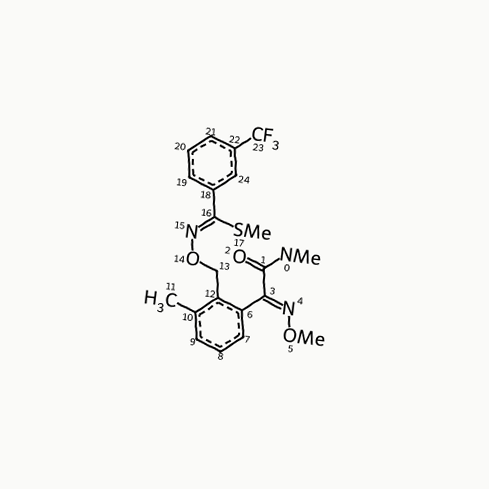 CNC(=O)/C(=N/OC)c1cccc(C)c1CO/N=C(\SC)c1cccc(C(F)(F)F)c1